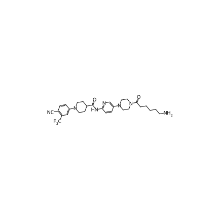 N#Cc1ccc(N2CCC(C(=O)Nc3ccc(N4CCN(C(=O)CCCCCN)CC4)cn3)CC2)cc1C(F)(F)F